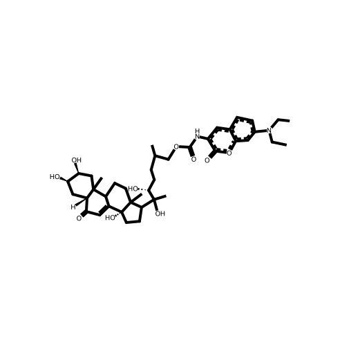 CCN(CC)c1ccc2cc(NC(=O)OCC(C)CC[C@@H](O)C(C)(O)C3CC[C@@]4(O)C5=CC(=O)[C@@H]6C[C@@H](O)[C@@H](O)CC6(C)C5CCC34C)c(=O)oc2c1